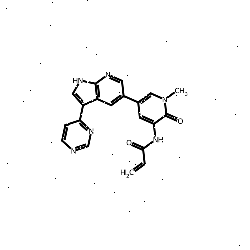 C=CC(=O)Nc1cc(-c2cnc3[nH]cc(-c4ccncn4)c3c2)cn(C)c1=O